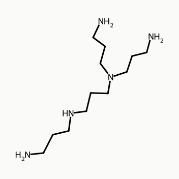 NCCCNCCCN(CCCN)CCCN